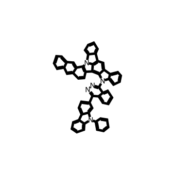 c1ccc(-n2c3ccccc3c3ccc(-c4nnc(-n5c6ccccc6c6cc7c8ccccc8n8c9c%10cc%11ccccc%11cc%10ccc9c(c65)c78)c5ccccc45)cc32)cc1